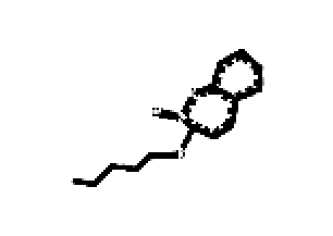 CCCCCOc1ccc2ccccc2n[n+]1=O